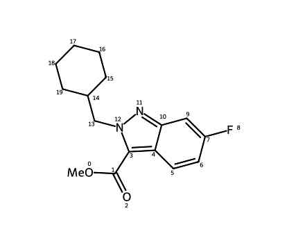 COC(=O)c1c2ccc(F)cc2nn1CC1CCCCC1